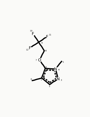 Cc1[c]nn(C)c1OCC(F)(F)F